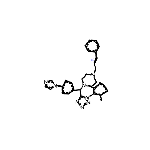 Cc1cccc(C)c1-n1nnnc1C(c1ccc(-n2ccnc2)cc1)N1CCN(C/C=C/c2ccccc2)CC1